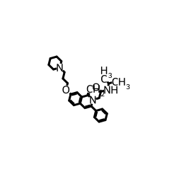 C=C1c2cc(OCCCN3CCCCC3)ccc2C=C(c2ccccc2)N1CC(=O)NC(C)C